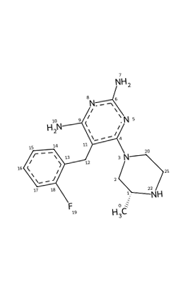 C[C@@H]1CN(c2nc(N)nc(N)c2Cc2ccccc2F)CCN1